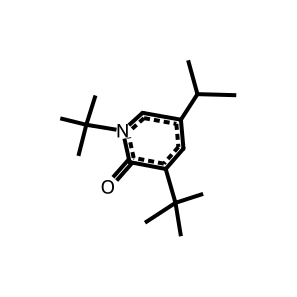 CC(C)c1cc(C(C)(C)C)c(=O)n(C(C)(C)C)c1